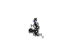 C=N/C=C\SCC(=O)Nc1cccc(-c2ccc(C(N)=O)c3[nH]c(-c4cccnc4)cc23)c1C